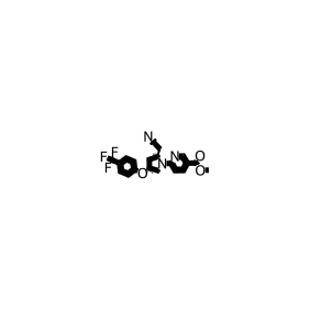 COC(=O)c1ccc(N2C[C@H](Oc3ccc(C(F)(F)F)cc3)C[C@H]2CC#N)nc1